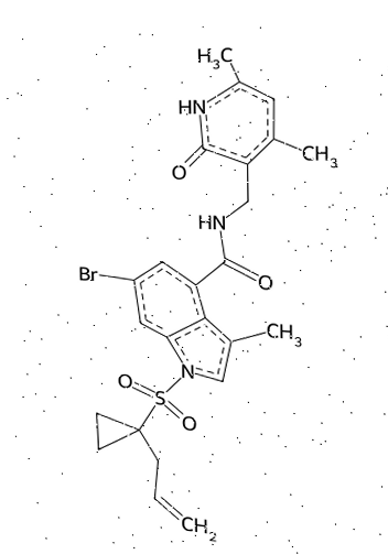 C=CCC1(S(=O)(=O)n2cc(C)c3c(C(=O)NCc4c(C)cc(C)[nH]c4=O)cc(Br)cc32)CC1